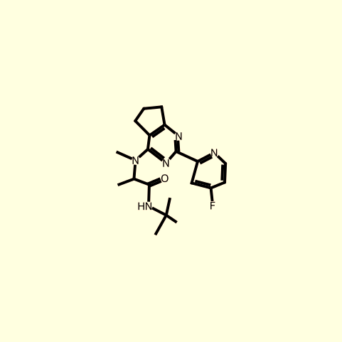 CC(C(=O)NC(C)(C)C)N(C)c1nc(-c2cc(F)ccn2)nc2c1CCC2